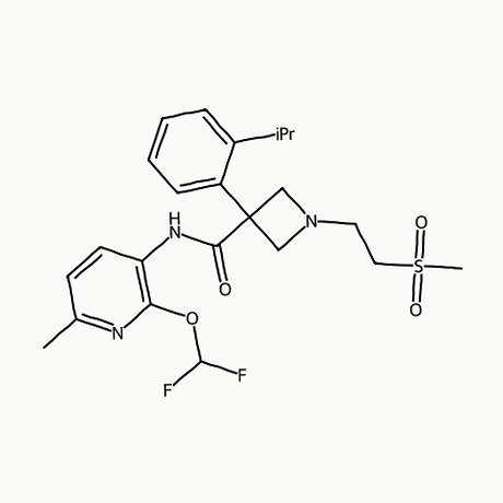 Cc1ccc(NC(=O)C2(c3ccccc3C(C)C)CN(CCS(C)(=O)=O)C2)c(OC(F)F)n1